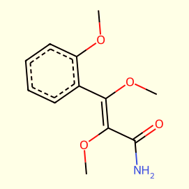 COC(C(N)=O)=C(OC)c1ccccc1OC